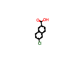 O=C(O)c1ccc2cc(Cl)ccc2c1